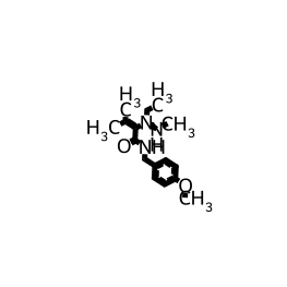 CCN(NC)C(C(=O)NCc1ccc(OC)cc1)=C(C)C